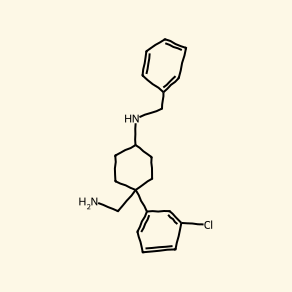 NCC1(c2cccc(Cl)c2)CCC(NCc2ccccc2)CC1